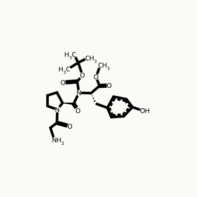 COC(=O)[C@H](Cc1ccc(O)cc1)N(C(=O)OC(C)(C)C)C(=O)[C@@H]1CCCN1C(=O)CN